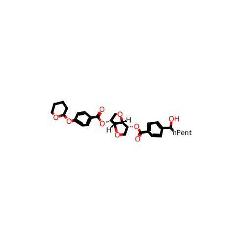 CCCCCC(O)c1ccc(C(=O)O[C@@H]2CO[C@H]3[C@@H]2OC[C@H]3OC(=O)c2ccc(OC3CCCCO3)cc2)cc1